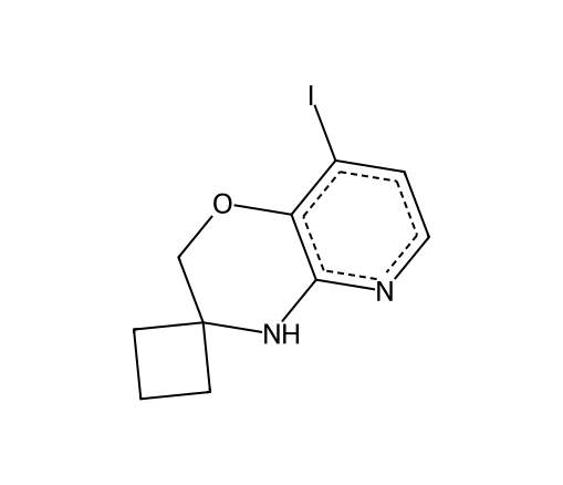 Ic1ccnc2c1OCC1(CCC1)N2